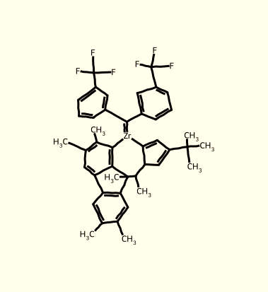 Cc1cc2c(cc1C)-c1cc(C)c(C)[c]([Zr]([C]3=CC(C(C)(C)C)=CC3C(C)C)=[C](c3cccc(C(F)(F)F)c3)c3cccc(C(F)(F)F)c3)c1C2